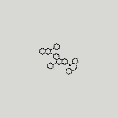 C1=Cc2ccccc2N(c2ccc3c(c2)cc(-c2ccccc2)c2cc(-c4cc5ccccc5cc4-c4ccccc4)ccc23)c2ccccc21